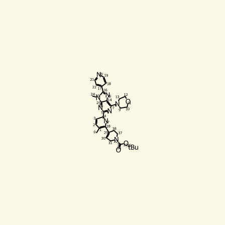 Cc1ccc(-c2nc(N3CCOCC3)c3nc(-c4ccncc4)n(C)c3n2)nc1C1=CCN(C(=O)OC(C)(C)C)CC1